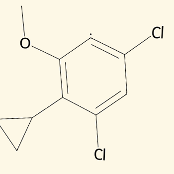 COc1[c]c(Cl)cc(Cl)c1C1CC1